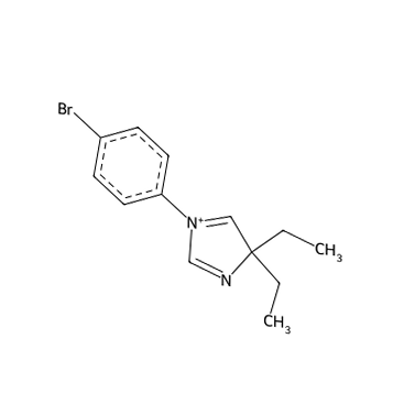 CCC1(CC)C=[N+](c2ccc(Br)cc2)C=N1